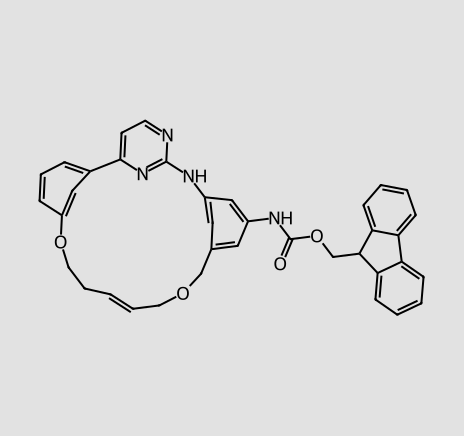 O=C(Nc1cc2cc(c1)Nc1nccc(n1)-c1cccc(c1)OCC/C=C/COC2)OCC1c2ccccc2-c2ccccc21